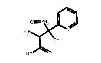 NC(C(=O)O)C(O)([PH2]=O)c1ccccn1